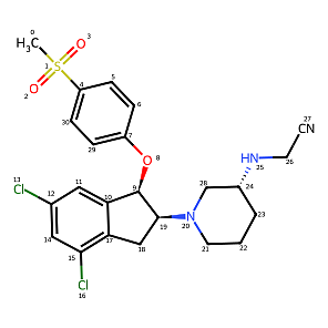 CS(=O)(=O)c1ccc(O[C@@H]2c3cc(Cl)cc(Cl)c3C[C@@H]2N2CCC[C@@H](NCC#N)C2)cc1